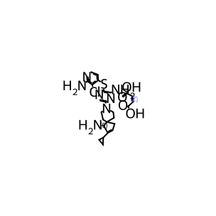 Nc1nc(N2CCC3(CC=C(C4CC4)[C@H]3N)CC2)cnc1Sc1ccnc(N)c1Cl.O=C(O)/C=C\C(=O)O